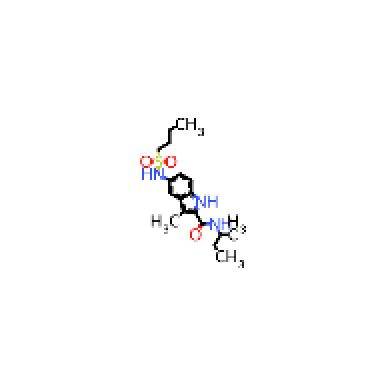 CCCCS(=O)(=O)Nc1ccc2[nH]c(C(=O)NC(C)CC)c(C)c2c1